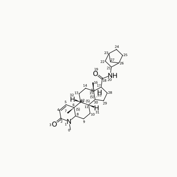 CN1C(=O)C=C[C@@]2(C)C1CC[C@@H]1[C@H]2CC[C@]2(C)C(C(=O)NC3CC4CCC3C4)CC[C@@H]12